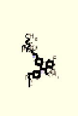 CCCS(=O)(=O)NC(=O)/C=C/c1ccc(/C(=C(/CC)c2ccc(F)cc2Cl)c2ccc3[nH]ncc3c2)cc1